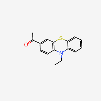 CCN1c2ccccc2Sc2cc(C(C)=O)ccc21